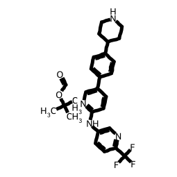 CC(C)(C)OC=O.FC(F)(F)c1ccc(Nc2ccc(-c3ccc(C4CCNCC4)cc3)cn2)cn1